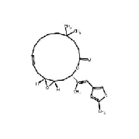 C/C(=C\c1csc(C)n1)[C@@H]1C[C@@H]2O[C@@H]2C/C=C\CCCCC(C)(C)CCC(=O)O1